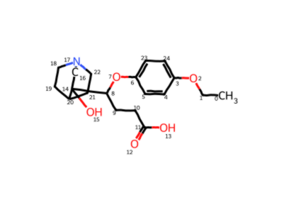 CCOc1ccc(OC(CCC(=O)O)C2(O)CN3CCC2CC3)cc1